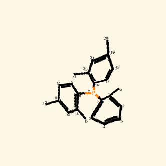 [CH2]c1ccccc1P(c1ccc(C)cc1C)c1ccc(C)cc1C